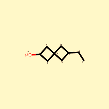 CCC1CC2(CC(O)C2)C1